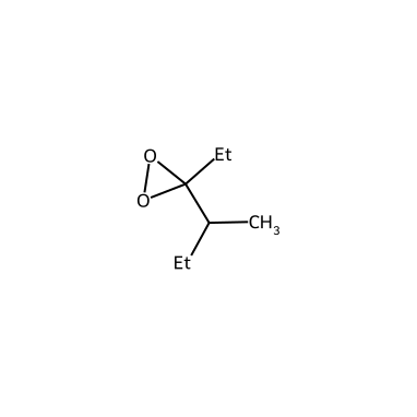 CCC(C)C1(CC)OO1